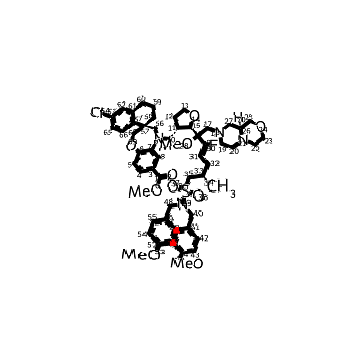 COC(=O)c1ccc2c(c1)N(C[C@@H]1CCO[C@H]1C(CN1CCN3CCOC[C@@H]3C1)(OC)/C(F)=C/C[C@H](C)CS(=O)(=O)N(Cc1ccc(OC)cc1)Cc1ccc(OC)cc1)C[C@@]1(CCCc3cc(Cl)ccc31)CO2